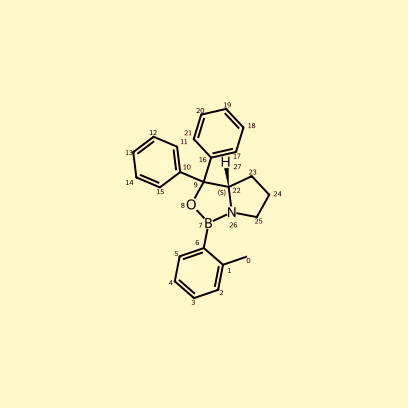 Cc1ccccc1B1OC(c2ccccc2)(c2ccccc2)[C@@H]2CCCN12